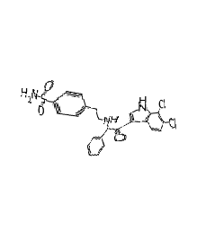 NS(=O)(=O)c1ccc(CCNC(C(=O)c2c[nH]c3c(Cl)c(Cl)ccc23)c2ccccc2)cc1